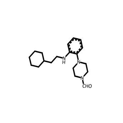 O=CN1CCN(c2ccccc2NCCC2CCCCC2)CC1